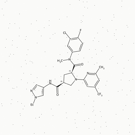 CCn1cc(NC(=O)[C@H]2C[C@@H](C(=O)N(C)c3ccc(F)c(Cl)c3)N(c3cc(C(F)(F)F)cc(C)n3)C2)cn1